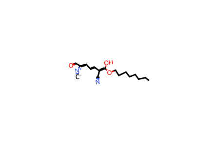 [C-]#[N+]C(C=O)=CC=C/C(C#N)=C(\O)OCCCCCCCC